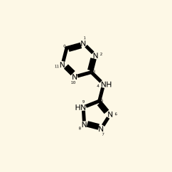 c1nnc(Nc2nnn[nH]2)nn1